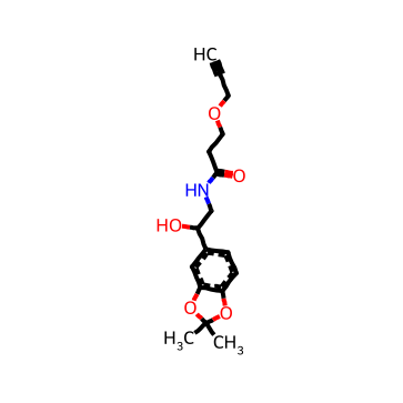 C#CCOCCC(=O)NCC(O)c1ccc2c(c1)OC(C)(C)O2